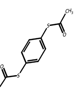 CC(=O)Sc1ccc(SC(C)=O)cc1